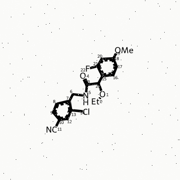 CCOC(C(=O)NCc1ccc(C#N)cc1Cl)c1ccc(OC)cc1F